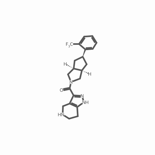 O=C(c1n[nH]c2c1CNCC2)N1C[C@H]2C[C@@H](c3ccccc3C(F)(F)F)C[C@H]2C1